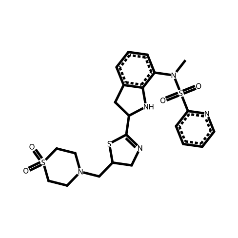 CN(c1cccc2c1NC(C1=NCC(CN3CCS(=O)(=O)CC3)S1)C2)S(=O)(=O)c1ccccn1